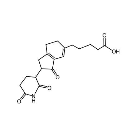 O=C(O)CCCCC1=CC2=C(CC1)CC(C1CCC(=O)NC1=O)C2=O